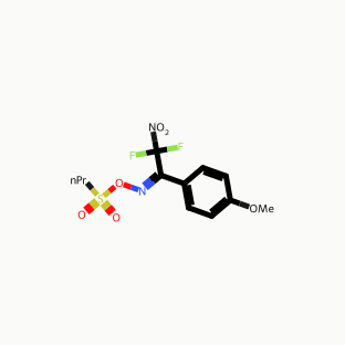 CCCS(=O)(=O)ON=C(c1ccc(OC)cc1)C(F)(F)[N+](=O)[O-]